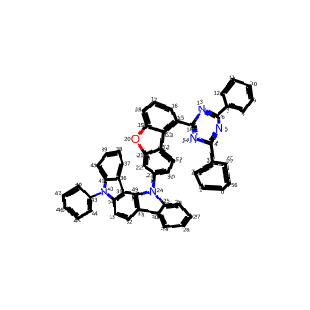 c1ccc(-c2nc(-c3ccccc3)nc(-c3cccc4oc5cc(-n6c7ccccc7c7ccc8c(c9ccccc9n8-c8ccccc8)c76)ccc5c34)n2)cc1